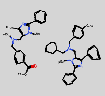 CCCCN(Cc1ccc(C(=O)OC)cc1)Cc1c(C(C)(C)C)nc(-c2ccccc2)n1CCCC.CCCCn1c(-c2ccccc2)nc(-c2ccccc2)c1CN(Cc1ccc(OC(C)=O)cc1)CC1CCCCC1